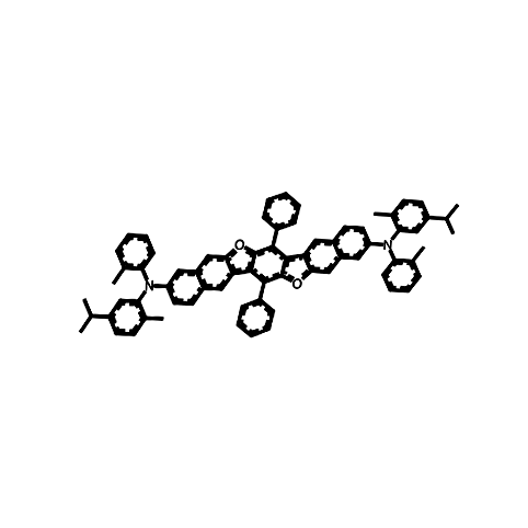 Cc1ccccc1N(c1ccc2cc3c(cc2c1)oc1c(-c2ccccc2)c2c(oc4cc5cc(N(c6ccccc6C)c6cc(C(C)C)ccc6C)ccc5cc42)c(-c2ccccc2)c13)c1cc(C(C)C)ccc1C